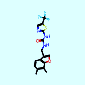 Cc1ccc2c(CNC(=O)Nc3ncc(C(F)(F)F)s3)coc2c1C